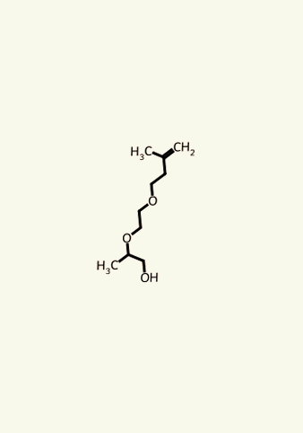 C=C(C)CCOCCOC(C)CO